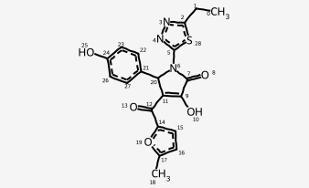 CCc1nnc(N2C(=O)C(O)=C(C(=O)c3ccc(C)o3)C2c2ccc(O)cc2)s1